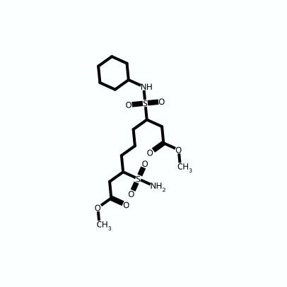 COC(=O)CC(CCCC(CC(=O)OC)S(=O)(=O)NC1CCCCC1)S(N)(=O)=O